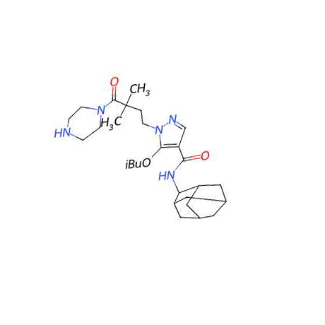 CC(C)COc1c(C(=O)NC2C3CC4CC(C3)CC2C4)cnn1CCC(C)(C)C(=O)N1CCNCC1